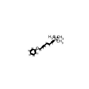 C[Si](C)(C)C#CC=CC#CCOc1ccccc1